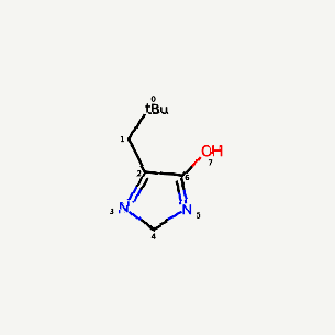 CC(C)(C)CC1=NCN=C1O